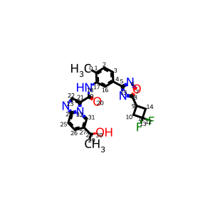 Cc1ccc(-c2noc(C3CC(F)(F)C3)n2)cc1NC(=O)c1cnc2ccc(C(C)O)cn12